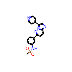 CS(=O)(=O)Nc1cccc(-c2ccc3ncc(-c4ccncc4)n3n2)c1